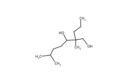 CCCC(C)(CO)C(O)CCC(C)C